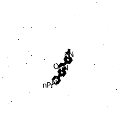 CCCN1CCC(c2ccc3nc(-c4ccc5nc(C)cn5c4)cc(=O)n3c2)CC1